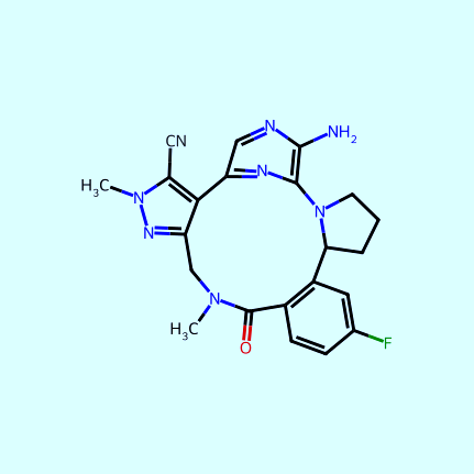 CN1Cc2nn(C)c(C#N)c2-c2cnc(N)c(n2)N2CCCC2c2cc(F)ccc2C1=O